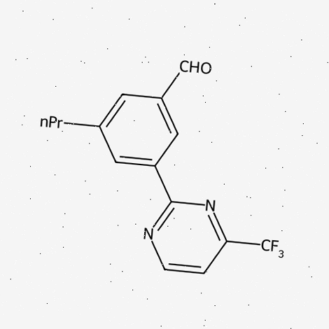 CCCc1cc(C=O)cc(-c2nccc(C(F)(F)F)n2)c1